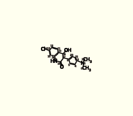 CN(C)c1ccc(-c2c(O)c3ccc(Cl)cc3[nH]c2=O)cc1